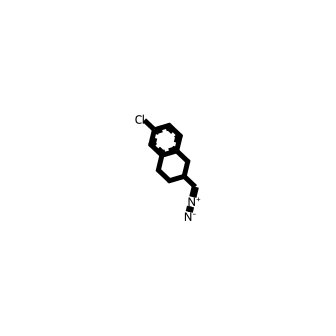 [N-]=[N+]=CC1CCc2cc(Cl)ccc2C1